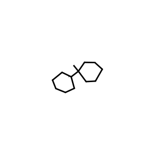 CC1([C]2CCCCC2)CCCCC1